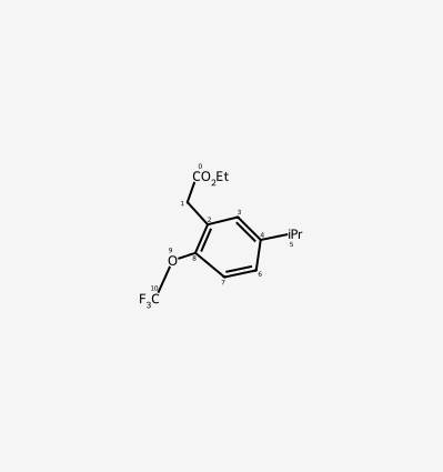 CCOC(=O)Cc1cc(C(C)C)ccc1OC(F)(F)F